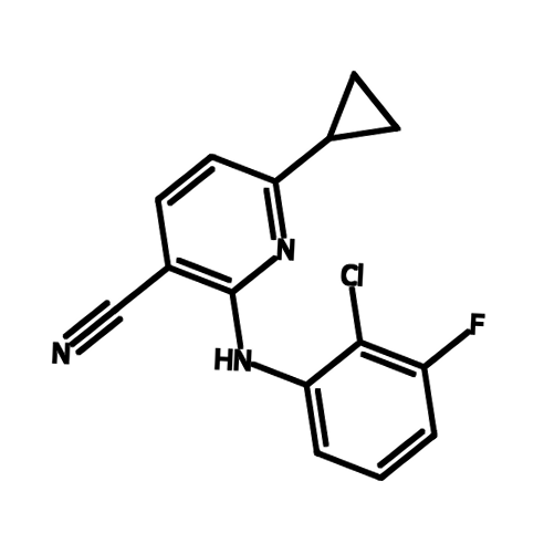 N#Cc1ccc(C2CC2)nc1Nc1cccc(F)c1Cl